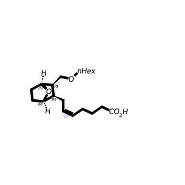 CCCCCCOC[C@H]1[C@@H](C/C=C\CCCC(=O)O)[C@H]2CC[C@@H]1O2